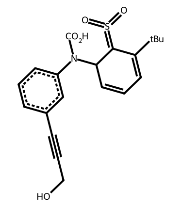 CC(C)(C)C1=CC=CC(N(C(=O)O)c2cccc(C#CCO)c2)C1=S(=O)=O